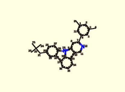 Cc1cc(C)cc(-c2cc3c(cn2)c2cccc4c5cc(CC(C)(C)C)ccc5n3c42)c1